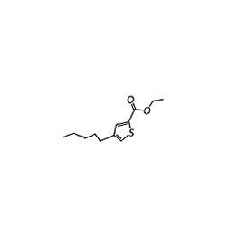 CCCCCc1csc(C(=O)OCC)c1